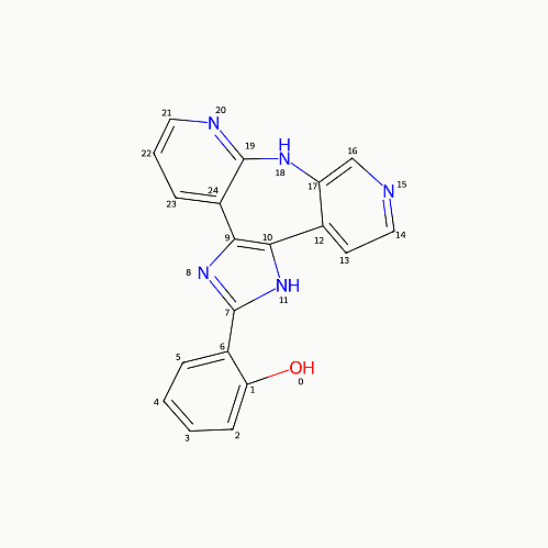 Oc1ccccc1-c1nc2c([nH]1)-c1ccncc1Nc1ncccc1-2